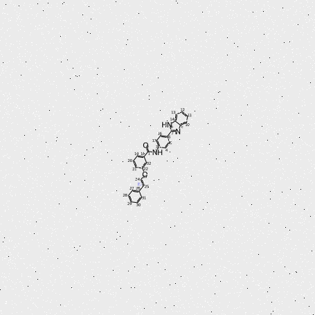 O=C(Nc1ccc(-c2nc3ccccc3[nH]2)cc1)c1cccc(O/C=C/c2ccccc2)c1